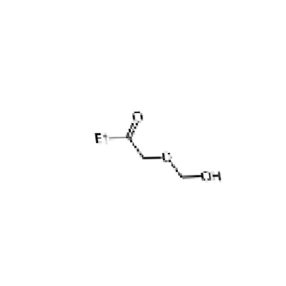 CCC(=O)COCO